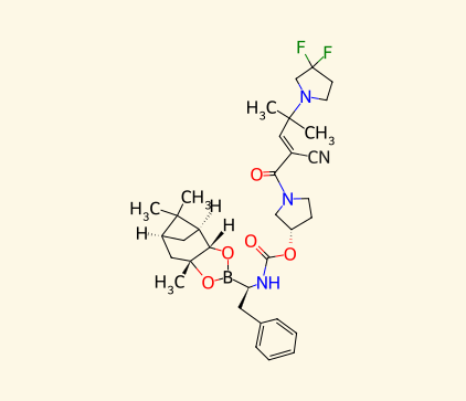 CC1(C)[C@H]2C[C@@H]1[C@@H]1OB([C@H](Cc3ccccc3)NC(=O)O[C@H]3CCN(C(=O)/C(C#N)=C/C(C)(C)N4CCC(F)(F)C4)C3)O[C@]1(C)C2